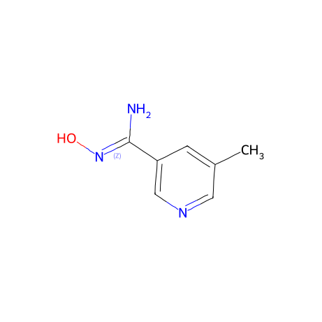 Cc1cncc(/C(N)=N/O)c1